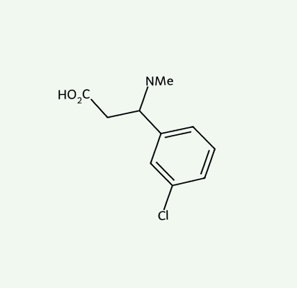 CNC(CC(=O)O)c1cccc(Cl)c1